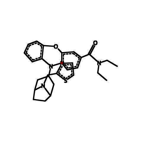 CCN(CC)C(=O)c1ccc2c(c1)Oc1ccccc1N2C1CC2CCC(C1)N2Cc1nccs1